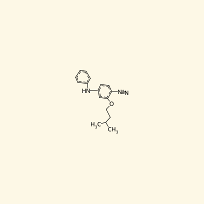 CC(C)CCOc1cc(Nc2ccccc2)ccc1[N+]#N